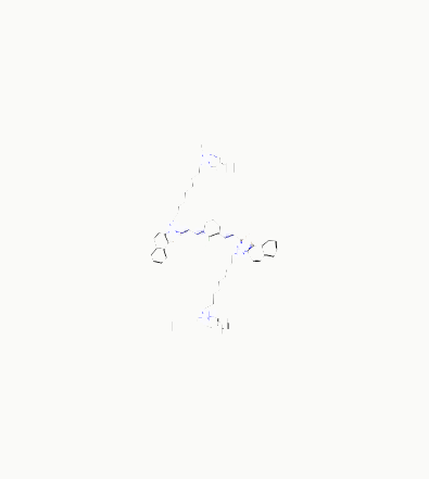 CC[N+](CC)(CC)CCCCCCCCCN1/C(=C/C=C2\CCCC(/C=C/c3sc4c5ccccc5ccc4[n+]3CCCCCCCCC[N+](CC)(CC)CC)=C2Cl)Sc2c1ccc1ccccc21